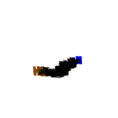 N#Cc1ccc(-c2ccc3cc(CCCCS)ccc3c2)cc1